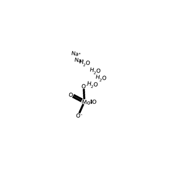 O.O.O.O.[Na+].[Na+].[O]=[Mo](=[O])([O-])[O-]